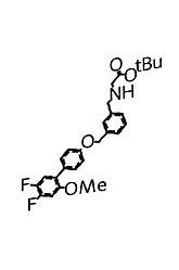 COc1cc(F)c(F)cc1-c1ccc(OCc2cccc(CNCC(=O)OC(C)(C)C)c2)cc1